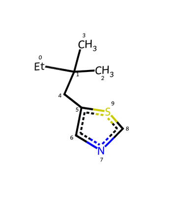 CCC(C)(C)Cc1cncs1